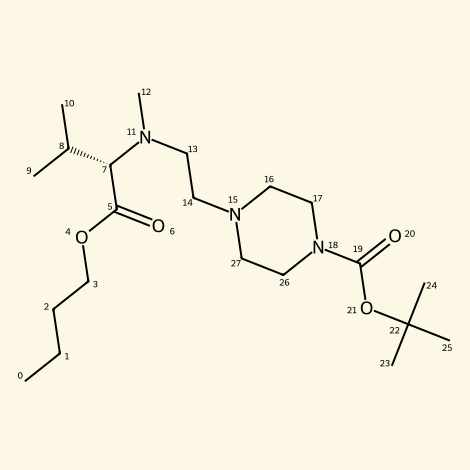 CCCCOC(=O)[C@H](C(C)C)N(C)CCN1CCN(C(=O)OC(C)(C)C)CC1